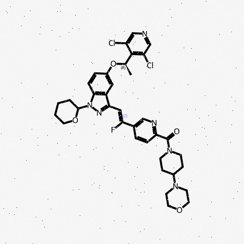 C[C@@H](Oc1ccc2c(c1)c(/C=C(\F)c1ccc(C(=O)N3CCC(N4CCOCC4)CC3)nc1)nn2C1CCCCO1)c1c(Cl)cncc1Cl